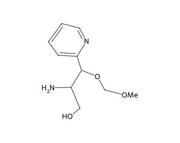 COCOC(c1ccccn1)C(N)CO